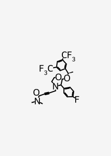 C[C@@H](OC1OCCN(CC#CC(=O)N(C)C)C1c1ccc(F)cc1)c1cc(C(F)(F)F)cc(C(F)(F)F)c1